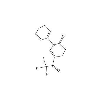 O=C1CCC(C(=O)C(F)(F)F)=CN1C1=CCCC=C1